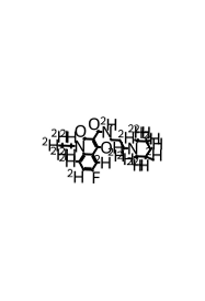 [2H]c1c(F)c([2H])c2c(O)c(C(=O)N([2H])CCC([2H])N3C([2H])([2H])C([2H])([2H])C([2H])([2H])C([2H])(C)C3([2H])[2H])c(=O)n(C([2H])([2H])C([2H])([2H])[2H])c2c1[2H]